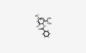 CCC[C@@H](O)[C@@H](O)C(OC(=O)c1ccccc1)/C(F)=C\[C@H](C)C(C)C